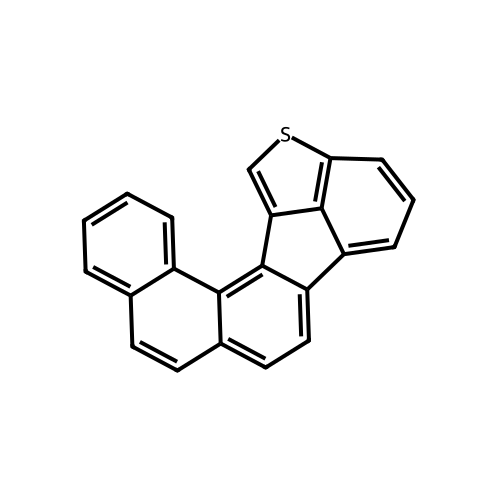 c1ccc2c(c1)ccc1ccc3c(c12)-c1csc2cccc-3c12